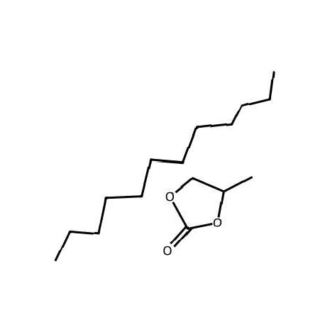 CC1COC(=O)O1.CCCCCCCCCCCC